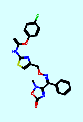 C=C(Nc1nc(CO/N=C(/c2ccccc2)c2nc(=O)on2C)cs1)Oc1ccc(Cl)cc1